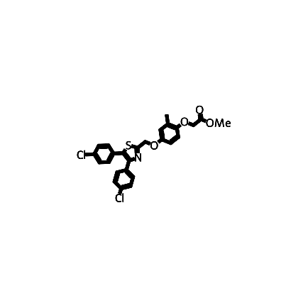 COC(=O)COc1ccc(OCc2nc(-c3ccc(Cl)cc3)c(-c3ccc(Cl)cc3)s2)cc1C